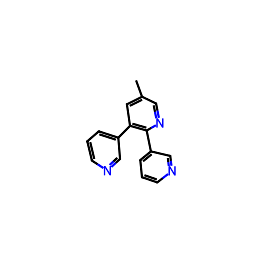 Cc1cnc(-c2cccnc2)c(-c2cccnc2)c1